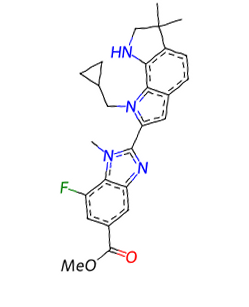 COC(=O)c1cc(F)c2c(c1)nc(-c1cc3ccc4c(c3n1CC1CC1)NCC4(C)C)n2C